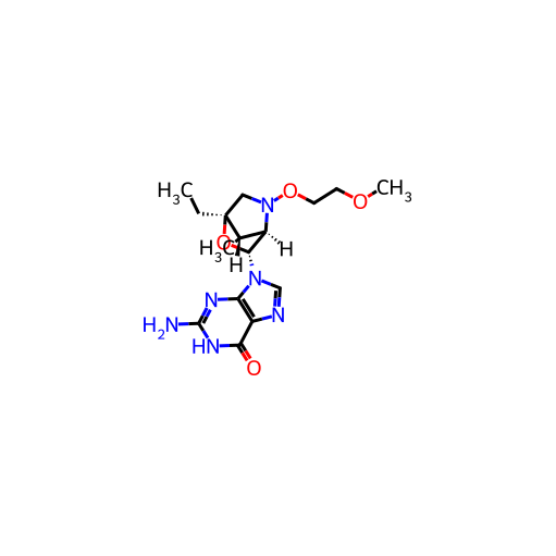 CC[C@@]12CN(OCCOC)[C@@H]([C@H](n3cnc4c(=O)[nH]c(N)nc43)O1)[C@@H]2C